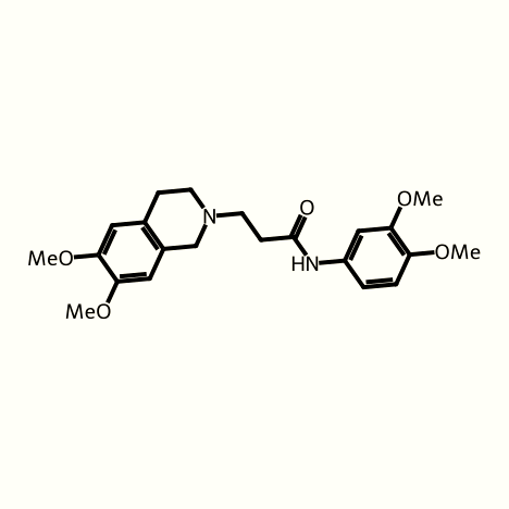 COc1ccc(NC(=O)CCN2CCc3cc(OC)c(OC)cc3C2)cc1OC